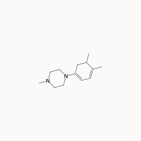 CC1=CC=C(N2CCN(C)CC2)CC1C